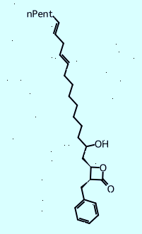 CCCCCC=CCC=CCCCCCCCC(O)C[C@H]1OC(=O)[C@H]1Cc1ccccc1